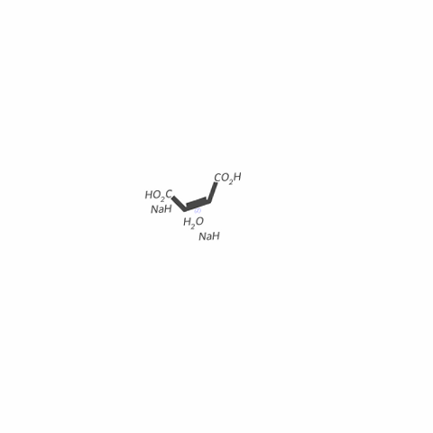 O.O=C(O)/C=C\C(=O)O.[NaH].[NaH]